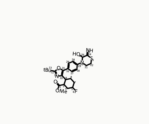 COC(=O)C1CC(F)CCC1c1nc(C(C)(C)C)oc1-c1ccc(N2CCSC(=N)C2O)cc1